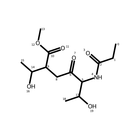 CCC(=O)NC(C(=O)CC(C(=O)OC)C(C)O)C(C)O